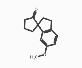 COc1ccc2c(c1)C1(CCCC1=O)CC2